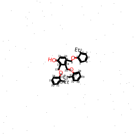 CCc1ccccc1OCc1ccc(O)c(COc2ccccc2CC)c1COc1ccccc1CC